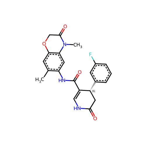 Cc1cc2c(cc1NC(=O)C1=CNC(=O)C[C@H]1c1cccc(F)c1)N(C)C(=O)CO2